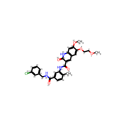 COCCOc1cc2cc(C(=O)Nc3cc(C(=O)NCc4cccc(Cl)c4)ccc3C)c(=O)[nH]c2cc1OC